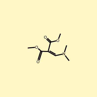 COC(=O)C(=CN(C)C)C(=O)OC